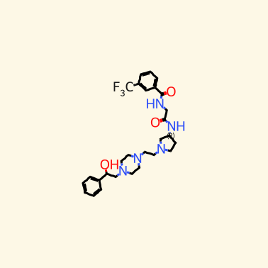 O=C(CNC(=O)c1cccc(C(F)(F)F)c1)N[C@@H]1CCN(CCN2CCN(CC(O)c3ccccc3)CC2)C1